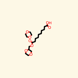 C1COCCO1.O=C(O)CCCCCCCCC(=O)OCC1COCCO1